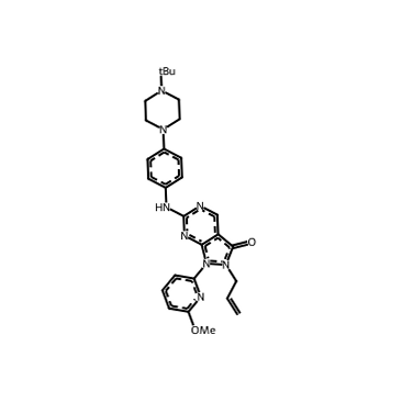 C=CCn1c(=O)c2cnc(Nc3ccc(N4CCN(C(C)(C)C)CC4)cc3)nc2n1-c1cccc(OC)n1